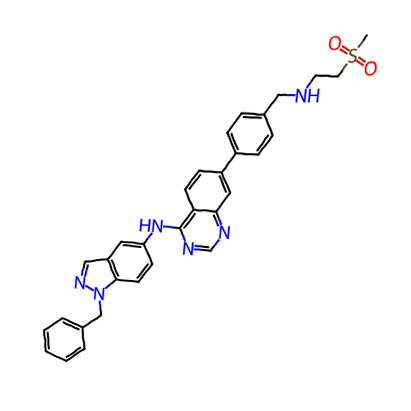 CS(=O)(=O)CCNCc1ccc(-c2ccc3c(Nc4ccc5c(cnn5Cc5ccccc5)c4)ncnc3c2)cc1